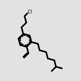 C=Cc1ccc(CCCCl)cc1CCCCCC(C)C